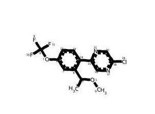 COC(C)c1cc(OC(F)(F)F)ccc1-c1cnc(Cl)cn1